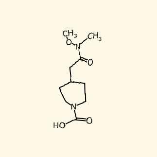 CON(C)C(=O)CC1CCN(C(=O)O)CC1